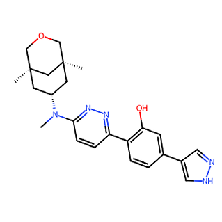 CN(c1ccc(-c2ccc(-c3cn[nH]c3)cc2O)nn1)[C@H]1C[C@]2(C)COC[C@](C)(C1)C2